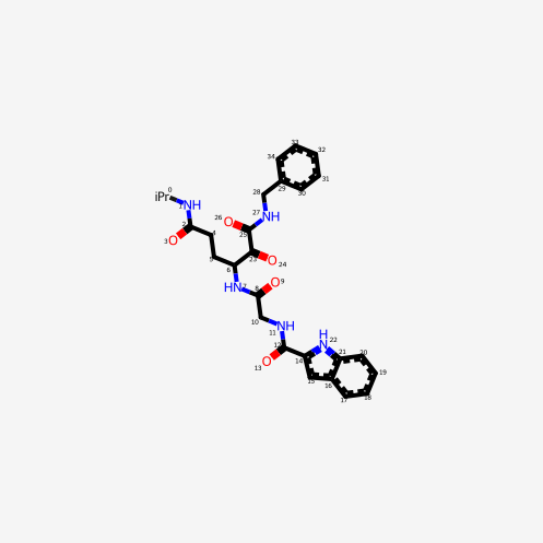 CC(C)NC(=O)CCC(NC(=O)CNC(=O)c1cc2ccccc2[nH]1)C(=O)C(=O)NCc1ccccc1